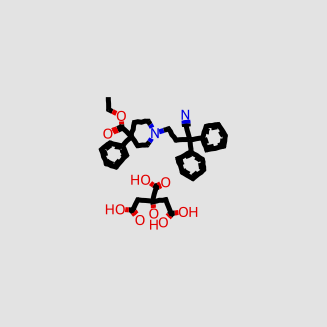 CCOC(=O)C1(c2ccccc2)CCN(CCC(C#N)(c2ccccc2)c2ccccc2)CC1.O=C(O)CC(O)(CC(=O)O)C(=O)O